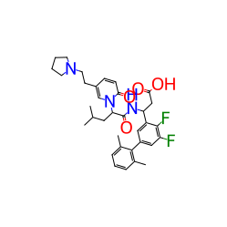 Cc1cccc(C)c1-c1cc(F)c(F)c(C(CC(=O)O)NC(=O)C(CC(C)C)n2cc(CCN3CCCC3)ccc2=O)c1